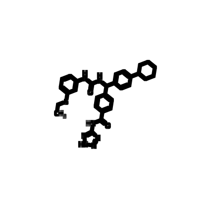 CCSc1cccc(NC(=O)NC(c2ccc(C(=O)Nc3nn[nH]n3)cc2)c2ccc(C3CCCCC3)cc2)c1